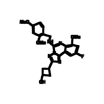 COc1ccc(CNc2nc3c(OC)cc(F)cc3c3nc(C4CC(O)C4)nn23)c(OC)c1